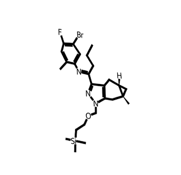 CCC/C(=N\c1cc(Br)c(F)cc1C)c1nn(COCC[Si](C)(C)C)c2c1C[C@@H]1C[C@]1(C)C2